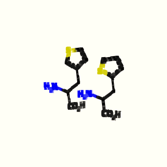 NC(Cc1cccs1)C(=O)O.NC(Cc1ccsc1)C(=O)O